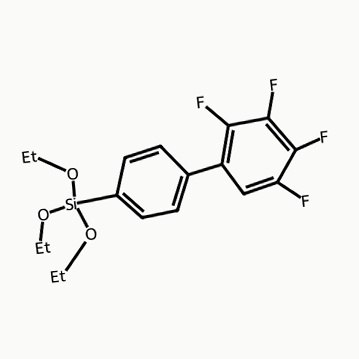 CCO[Si](OCC)(OCC)c1ccc(-c2cc(F)c(F)c(F)c2F)cc1